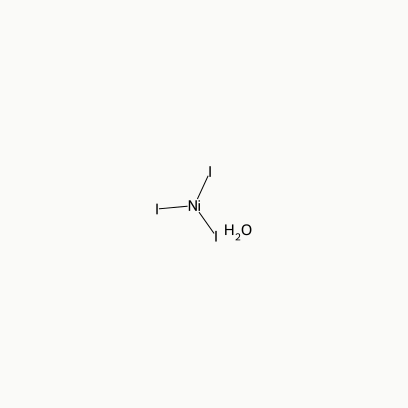 O.[I][Ni]([I])[I]